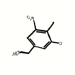 Cc1c(Cl)cc(CO)cc1[N+](=O)[O-]